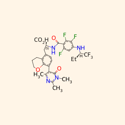 CC[C@@H](Nc1cc(F)c(C(=O)N[C@@H](Cc2ccc(-c3c(C)nc(C)n(C)c3=O)c3c2CCCO3)C(=O)O)c(F)c1F)C(F)(F)F